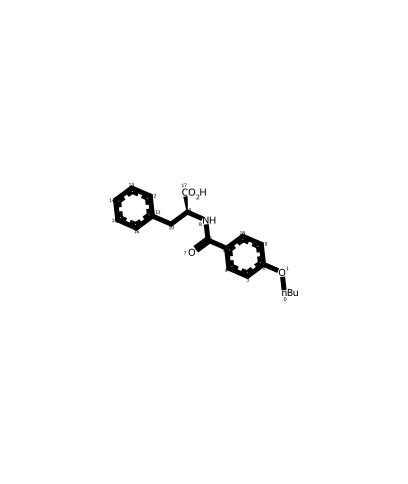 CCCCOc1ccc(C(=O)N[C@@H](Cc2ccccc2)C(=O)O)cc1